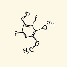 COc1cc(F)c(C=O)c(F)c1OC